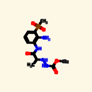 CC(NNC(=O)OC(C)(C)C)C(=O)Nc1cccc(S(C)(=O)=O)c1N